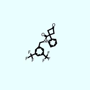 O=C1CC(C(=O)NCc2cc(C(F)(F)F)cc(C(F)(F)F)c2)(c2ccccc2)C1